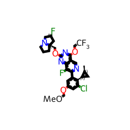 COCOc1cc(Cl)c([C@@H]2C[C@@H]2C)c(-c2ncc3c(OCC(F)(F)F)nc(OC[C@@]45CCCN4C[C@H](F)C5)nc3c2F)c1